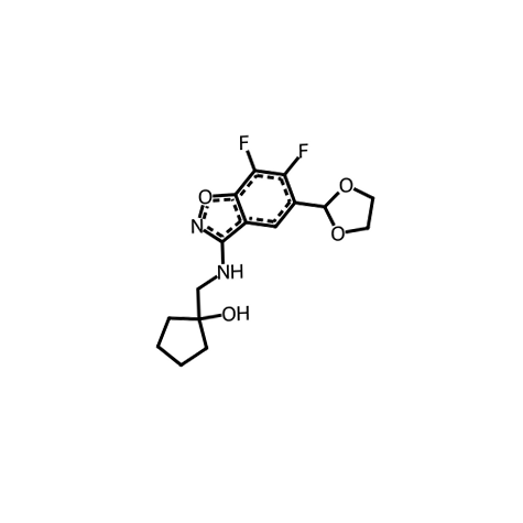 OC1(CNc2noc3c(F)c(F)c(C4OCCO4)cc23)CCCC1